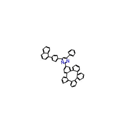 c1ccc(-c2cc(-c3ccc(-c4cccc5ccccc45)cc3)nc(-c3ccc4c5ccccc5c5ccccc5c5ccccc5c5ccccc5c4c3)n2)cc1